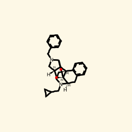 c1ccc(CN2C[C@H]3C[C@@]45CCC2C3[C@@]42CCN(CC3CC3)[C@@H]5Cc3ccccc32)cc1